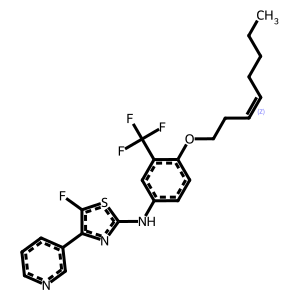 CCCC/C=C\CCOc1ccc(Nc2nc(-c3cccnc3)c(F)s2)cc1C(F)(F)F